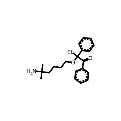 CCC(OCCCCC(C)(C)N)(C(=O)c1ccccc1)c1ccccc1